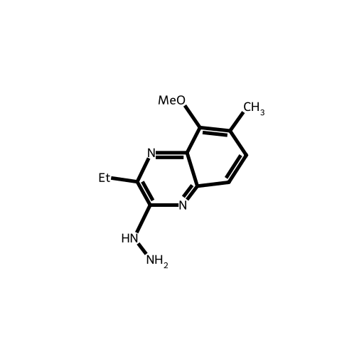 CCc1nc2c(OC)c(C)ccc2nc1NN